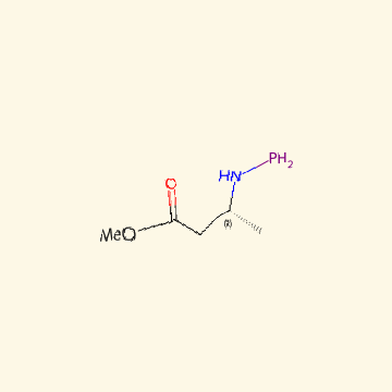 COC(=O)C[C@@H](C)NP